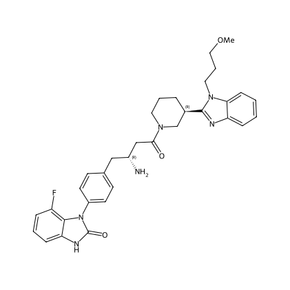 COCCCn1c([C@@H]2CCCN(C(=O)C[C@H](N)Cc3ccc(-n4c(=O)[nH]c5cccc(F)c54)cc3)C2)nc2ccccc21